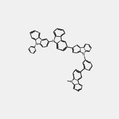 Cn1c2ccccc2c2cc(-c3cccc(-n4c5ccccc5c5cc(-c6ccc7c(c6)c6ccccc6n7-c6ccc7c(c6)c6ccccc6n7-c6ccccc6)ccc54)c3)ccc21